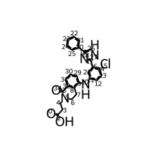 O=C(O)CCN1CCc2c(Nc3ccc(Cl)c(-c4nc(-c5ccccc5)c[nH]4)c3)cccc2C1=O